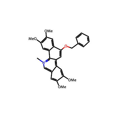 COc1cc2c[n+](C)c3c4cc(OC)c(OC)cc4c(OCc4ccccc4)cc3c2cc1OC